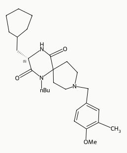 CCCCN1C(=O)[C@H](CC2CCCCC2)NC(=O)C12CCN(Cc1ccc(OC)c(C)c1)CC2